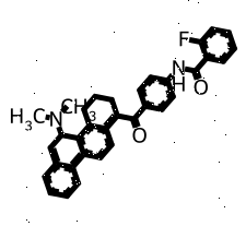 CN(C)C1C=c2ccccc2=c2ccc3c(c21)CCCC=3C(=O)c1ccc(NC(=O)c2ccccc2F)cc1